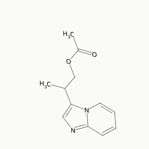 CC(=O)OCC(C)c1cnc2ccccn12